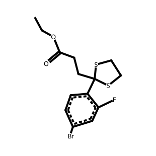 CCOC(=O)CCC1(c2ccc(Br)cc2F)SCCS1